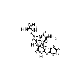 C[C@H](NC(=O)[C@H](CCCNC(=N)N)NC(=O)[C@H](C)NC(=O)Cc1ccccc1)C(N)=O